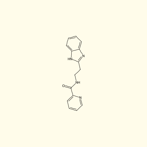 O=C(NCCc1nc2ccccc2[nH]1)c1ccccn1